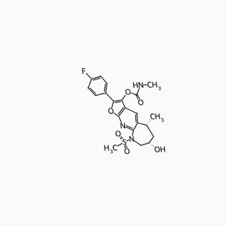 CNC(=O)Oc1c(-c2ccc(F)cc2)oc2nc3c(cc12)[C@H](C)C[C@H](O)CN3S(C)(=O)=O